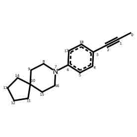 CC#Cc1ccc(N2CCC3(CCCC3)CC2)cc1